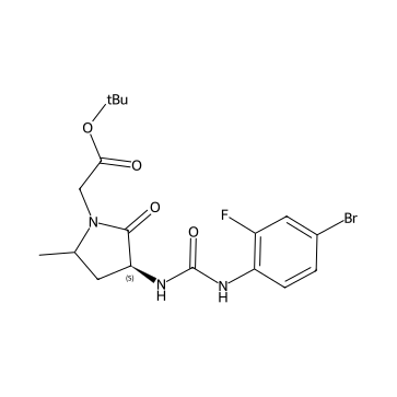 CC1C[C@H](NC(=O)Nc2ccc(Br)cc2F)C(=O)N1CC(=O)OC(C)(C)C